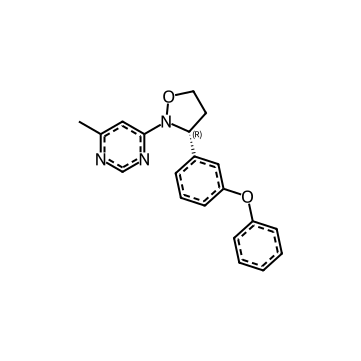 Cc1cc(N2OCC[C@@H]2c2cccc(Oc3ccccc3)c2)ncn1